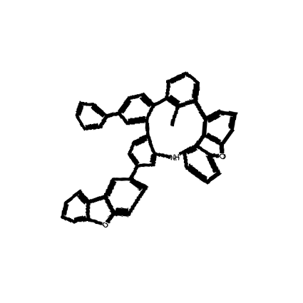 Cc1c2cccc1-c1cccc3oc4cccc(c4c13)Nc1cc(-c3ccc4oc5ccccc5c4c3)ccc1-c1cc(-c3ccccc3)ccc1-2